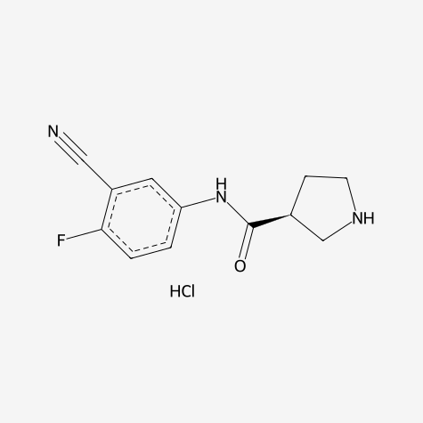 Cl.N#Cc1cc(NC(=O)[C@H]2CCNC2)ccc1F